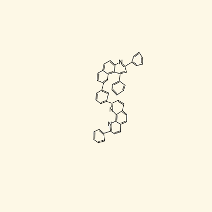 c1ccc(-c2cc(-c3ccccc3)c3c(ccc4ccc(-c5cccc(-c6ccc7ccc8ccc(-c9ccccc9)nc8c7n6)c5)cc43)n2)cc1